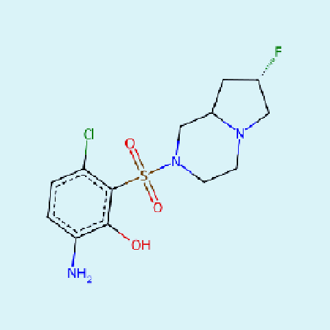 Nc1ccc(Cl)c(S(=O)(=O)N2CCN3C[C@@H](F)CC3C2)c1O